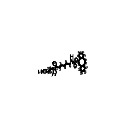 O=C(CCCCCNC(=O)OC1Cc2ccccc2C#Cc2ccccc21)NCCO